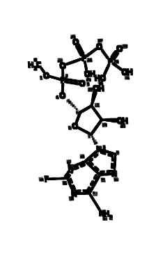 COP(=O)(O[C@H]1O[C@@H](n2cnc3c(N)nc(F)nc32)[C@H](O)[C@@H]1O)OP(=O)(O)OP(=O)(O)O